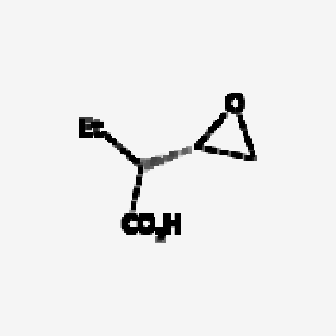 CCC(C(=O)O)[C@H]1CO1